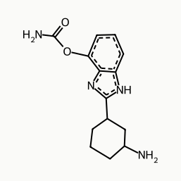 NC(=O)Oc1cccc2[nH]c(C3CCCC(N)C3)nc12